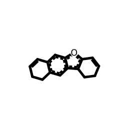 C1=Cc2cc3oc4c(c3cc2CC1)CCC=C4